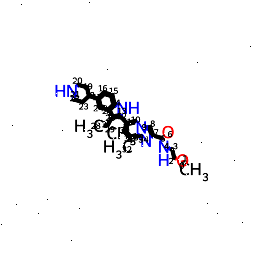 COCCNC(=O)c1cn2cc(-c3[nH]c4ccc(C5CCNCC5)cc4c3C(C)C)cc(C)c2n1